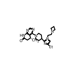 CCc1cn(CCN2CCC2)c(C2CCN(c3ncnc4c3[C@H](C)CC(=O)N4)CC2)n1